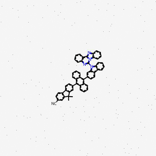 CC1(C)c2cc(C#N)ccc2-c2ccc(-c3c4ccccc4c(-c4ccc5c6ccccc6n(-c6nc7ccccc7c7nc8ccccc8n67)c5c4)c4ccccc34)cc21